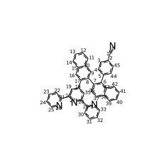 N#Cc1ccc(-c2c(-c3cc4ccccc4cc3-c3cc(-c4ccccn4)nc(-c4ccccn4)c3)ccc3ccccc23)cc1